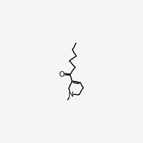 CCCCCC(=O)C1=CCCN(C)C1